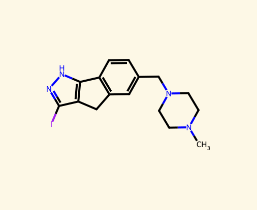 CN1CCN(Cc2ccc3c(c2)Cc2c(I)n[nH]c2-3)CC1